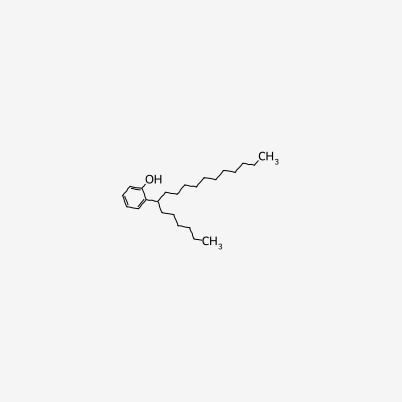 CCCCCCCCCCCC(CCCCCC)c1ccccc1O